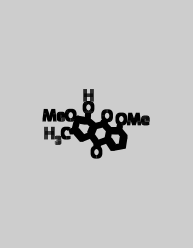 COc1cccc2c1C(=O)c1c(cc(C)c(OC)c1O)C2=O